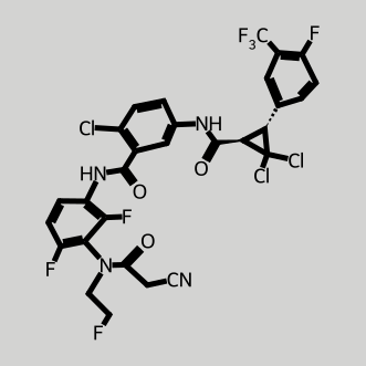 N#CCC(=O)N(CCF)c1c(F)ccc(NC(=O)c2cc(NC(=O)[C@H]3[C@H](c4ccc(F)c(C(F)(F)F)c4)C3(Cl)Cl)ccc2Cl)c1F